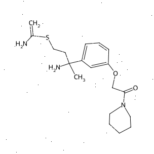 C=C(N)SCCC(C)(N)c1cccc(OCC(=O)N2CCCCC2)c1